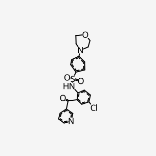 O=C(c1cccnc1)c1cc(Cl)ccc1NS(=O)(=O)c1ccc(N2CCOCC2)cc1